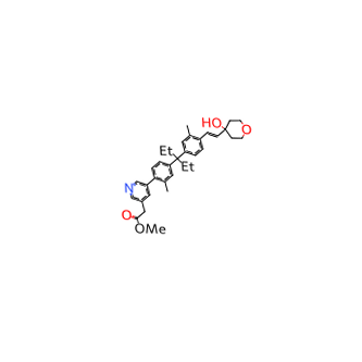 CCC(CC)(c1ccc(C=CC2(O)CCOCC2)c(C)c1)c1ccc(-c2cncc(CC(=O)OC)c2)c(C)c1